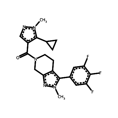 Cn1nc2c(c1-c1cc(F)c(F)c(F)c1)CCN(C(=O)c1cnn(C)c1C1CC1)C2